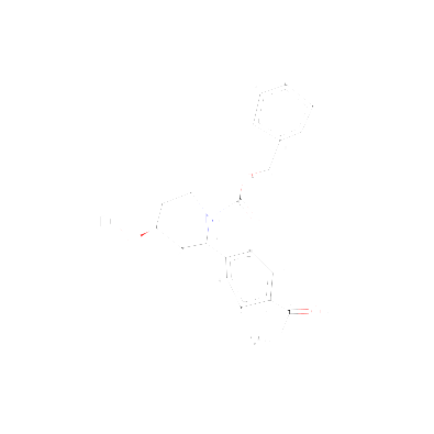 CCO[C@H]1CCN(C(=O)OCc2ccccc2)C(c2ccc(C(=O)OC)cc2)C1